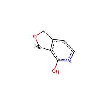 Oc1nccc2c1BOC2